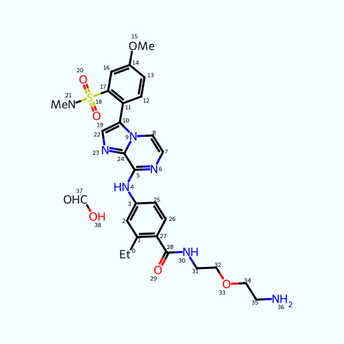 CCc1cc(Nc2nccn3c(-c4ccc(OC)cc4S(=O)(=O)NC)cnc23)ccc1C(=O)NCCOCCN.O=CO